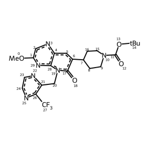 COc1cnc2cc(C3CCN(C(=O)OC(C)(C)C)CC3)c(=O)n(Cc3nccnc3C(F)(F)F)c2n1